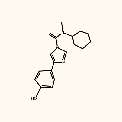 CN(C(=O)n1cnc(-c2ccc(O)cc2)c1)C1CCCCC1